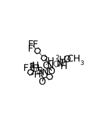 [2H]C([2H])(Sc1cc(=O)c2ccccc2n1CC(=O)N(C1CCN(C([2H])([2H])COC)CC1)C([2H])(C)c1ccc(-c2ccc(C(F)(F)F)cc2)cc1)c1cccc(F)c1F